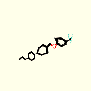 CCC[C@H]1CC[C@H](C2CCC(COc3ccc(C(F)(F)F)cc3)CC2)CC1